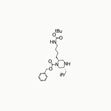 CC(C)C[C@@H]1CN(C(=O)OCc2ccccc2)[C@@H](CCCCNC(=O)OC(C)(C)C)CN1